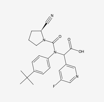 CC(C)(C)c1ccc(N(C(=O)N2CCC[C@H]2C#N)C(C(=O)O)c2cncc(F)c2)cc1